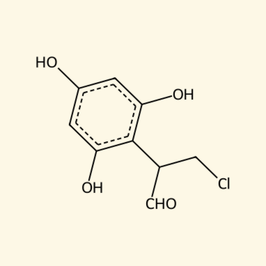 O=CC(CCl)c1c(O)cc(O)cc1O